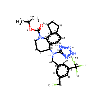 CC(C)OC(=O)N1CCC[C@H](N(Cc2cc(CF)cc(C(F)(F)F)c2)c2nn[nH]n2)c2ccc3c(c21)CCC3